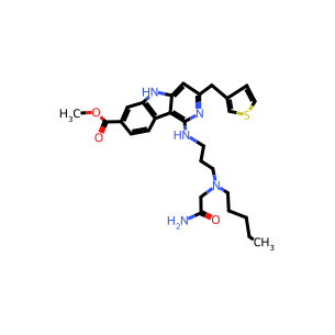 CCCCCN(CCCNc1nc(Cc2ccsc2)cc2[nH]c3cc(C(=O)OC)ccc3c12)CC(N)=O